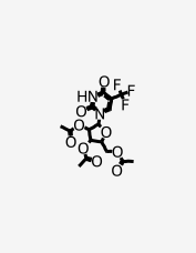 CC(=O)OCC1OC(n2cc(C(F)(F)F)c(=O)[nH]c2=O)C(OC(C)=O)C1OC(C)=O